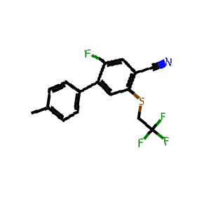 Cc1ccc(-c2cc(SCC(F)(F)F)c(C#N)cc2F)cc1